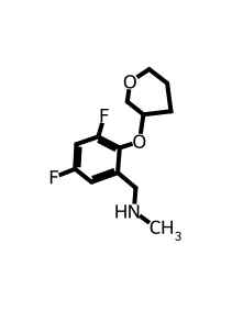 CNCc1cc(F)cc(F)c1OC1CCCOC1